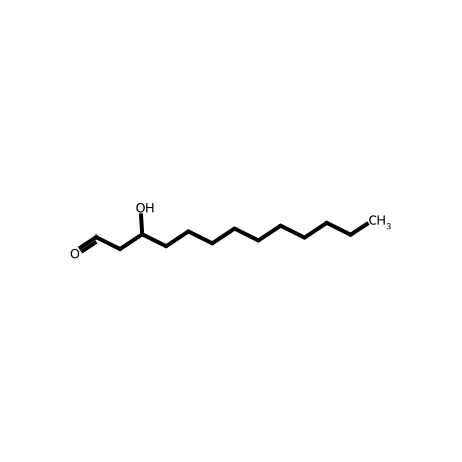 CCCCCCCCCCC(O)C[C]=O